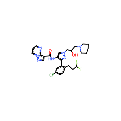 O=C(Nc1cn(CC(O)CN2CCCCC2)nc1-c1cc(Cl)ccc1CCC(F)F)c1cnn2cccnc12